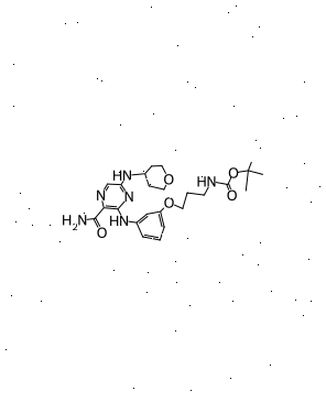 CC(C)(C)OC(=O)NCCCOc1cccc(Nc2nc(NC3CCOCC3)cnc2C(N)=O)c1